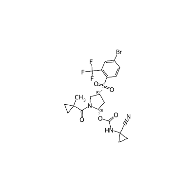 CC1(C(=O)N2C[C@H](S(=O)(=O)c3ccc(Br)cc3C(F)(F)F)C[C@@H]2OC(=O)NC2(C#N)CC2)CC1